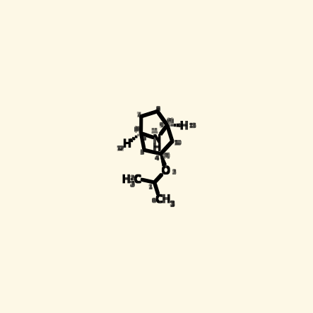 CC(C)O[C@H]1C[C@H]2CC[C@@H](C1)N2